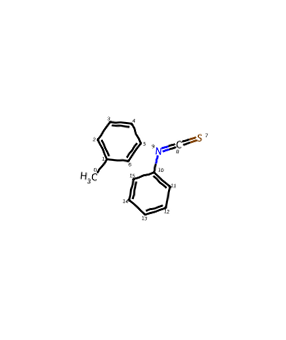 Cc1ccccc1.S=C=Nc1ccccc1